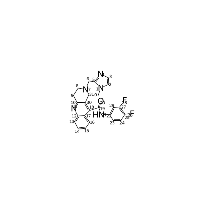 Cn1ccnc1CN1CCc2nc3ccccc3c(C(=O)Nc3ccc(F)c(F)c3)c2C1